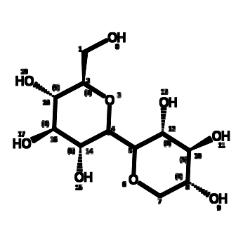 OC[C@H]1O[C](C2OC[C@@H](O)[C@H](O)[C@H]2O)[C@H](O)[C@@H](O)[C@@H]1O